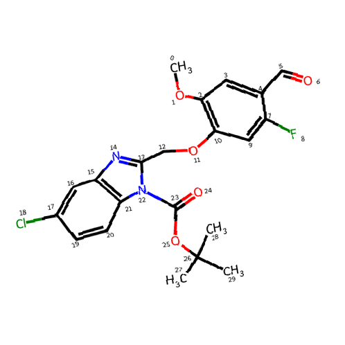 COc1cc(C=O)c(F)cc1OCc1nc2cc(Cl)ccc2n1C(=O)OC(C)(C)C